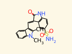 Cc1c(/C=C2/C(=O)Nc3ccc(S(N)(=O)=O)cc32)c2ccccc2n1C